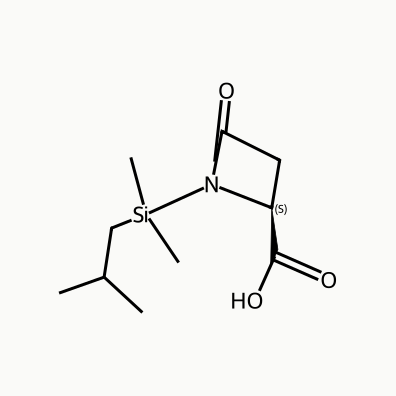 CC(C)C[Si](C)(C)N1C(=O)C[C@H]1C(=O)O